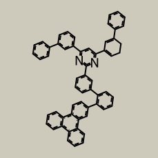 C1=C(c2ccccc2)CCC=C1c1cc(-c2cccc(-c3ccccc3)c2)nc(-c2cccc(-c3ccccc3-c3ccc4c5ccccc5c5ccccc5c4c3)c2)n1